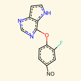 O=Nc1ccc(Oc2ncnc3cc[nH]c23)c(F)c1